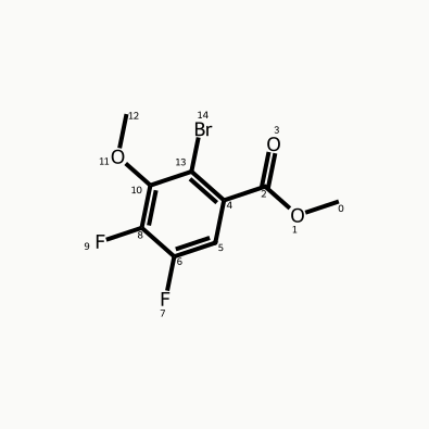 COC(=O)c1cc(F)c(F)c(OC)c1Br